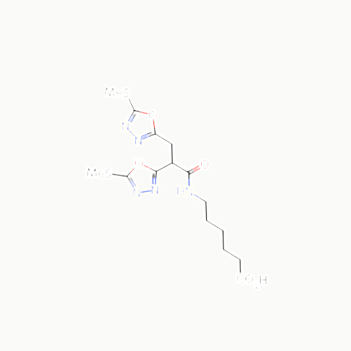 CSc1nnc(CC(C(=O)NCCCCCC(=O)O)c2nnc(SC)o2)o1